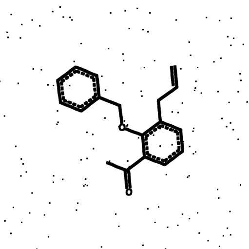 C=CCc1cccc(C(C)=O)c1OCc1ccccc1